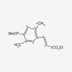 CCOC(=O)C=Cc1cc(C)c(OC)cc1C